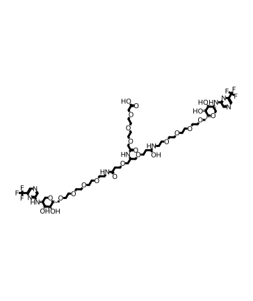 O=C(O)COCCOCCOCC(=O)NC(COCCC(=O)NCCOCCOCCOCCOC[C@H]1OC[C@H](Nc2cncc(C(F)(F)F)n2)[C@@H](O)[C@H]1O)COCCC(O)NCCOCCOCCOCCOC[C@H]1OC[C@H](Nc2cncc(C(F)(F)F)n2)[C@@H](O)[C@H]1O